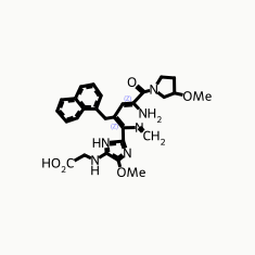 C=N/C(=C(\C=C(/N)C(=O)N1CCC(OC)C1)Cc1cccc2ccccc12)c1nc(OC)c(NCC(=O)O)[nH]1